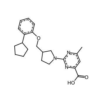 Cc1cc(C(=O)O)nc(N2CCC(COc3ccccc3C3CCCC3)C2)n1